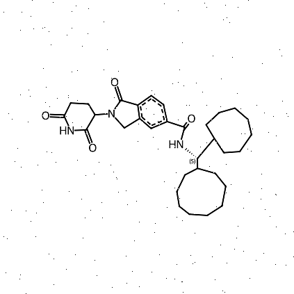 O=C1CCC(N2Cc3cc(C(=O)N[C@@H](C4CCCCCCCC4)C4CCCCCCC4)ccc3C2=O)C(=O)N1